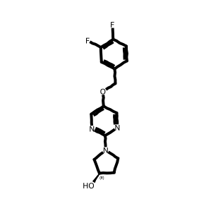 O[C@@H]1CCN(c2ncc(OCc3ccc(F)c(F)c3)cn2)C1